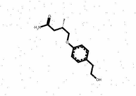 C[C@H](COc1ccc([CH]CO)cc1)CC(N)=O